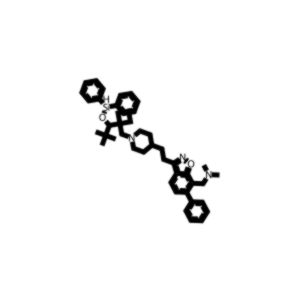 CN(C)Cc1c(-c2ccccc2)ccc2c(CCC3CCN(CC4(C(O[SiH](c5ccccc5)c5ccccc5)C(C)(C)C)CCC4)CC3)noc12